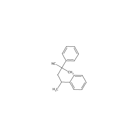 CC(CC(C)(C#N)c1ccccc1)c1ccccc1